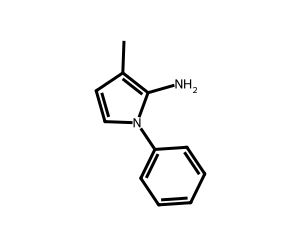 Cc1ccn(-c2ccccc2)c1N